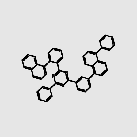 c1ccc(-c2nc(-c3cccc(-c4cccc5c(-c6ccccc6)cccc45)c3)nc(-c3ccccc3-c3cccc4ccccc34)n2)cc1